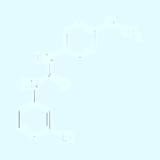 CCc1cccc(NC(=O)Nc2ccc(OC(F)(F)F)cc2)c1